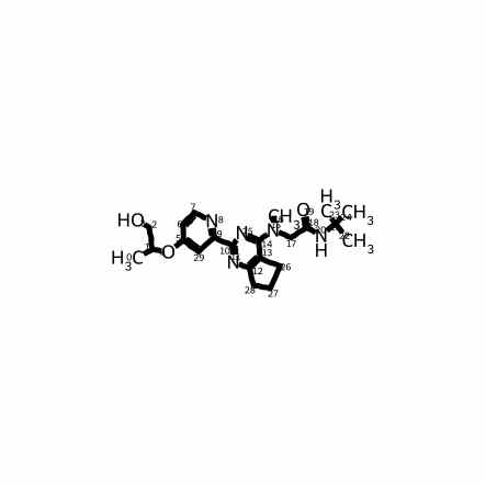 CC(CO)Oc1ccnc(-c2nc3c(c(N(C)CC(=O)NC(C)(C)C)n2)CCC3)c1